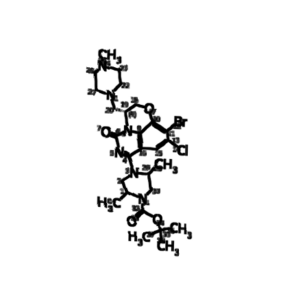 CC1CN(c2nc(=O)n3c4c(c(Br)c(Cl)cc24)OC[C@H]3CN2CCN(C)CC2)C(C)CN1C(=O)OC(C)(C)C